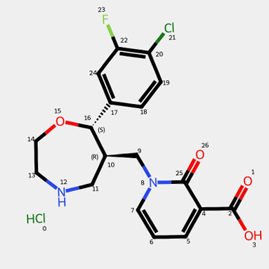 Cl.O=C(O)c1cccn(C[C@H]2CNCCO[C@@H]2c2ccc(Cl)c(F)c2)c1=O